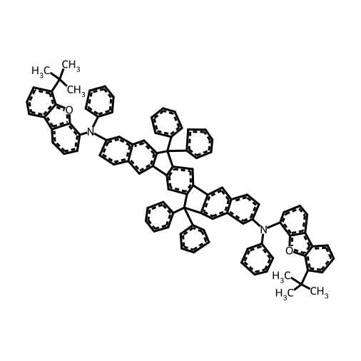 CC(C)(C)c1cccc2c1oc1c(N(c3ccccc3)c3ccc4cc5c(cc4c3)C(c3ccccc3)(c3ccccc3)c3cc4c(cc3-5)C(c3ccccc3)(c3ccccc3)c3cc5cc(N(c6ccccc6)c6cccc7c6oc6c(C(C)(C)C)cccc67)ccc5cc3-4)cccc12